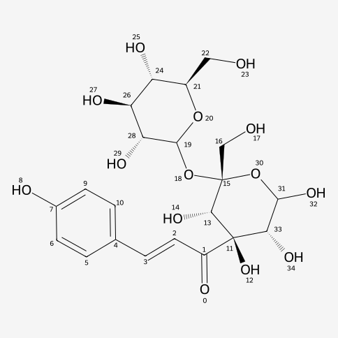 O=C(C=Cc1ccc(O)cc1)[C@]1(O)[C@H](O)[C@](CO)(OC2O[C@H](CO)[C@@H](O)[C@H](O)[C@H]2O)OC(O)[C@@H]1O